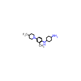 Cc1cc(N2CCC(C(F)(F)F)CC2)ccc1NC1CCC(N)CC1